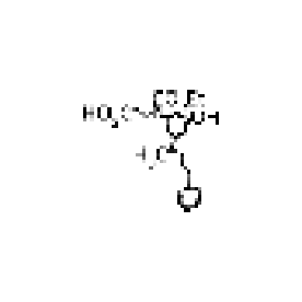 CCOC(=O)N(CCC(=O)O)c1cc(O)cc(C(C)CCCc2ccccc2)c1